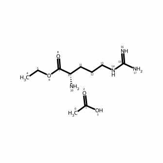 CC(=O)O.CCOC(=O)[C@@H](N)CCCNC(=N)N